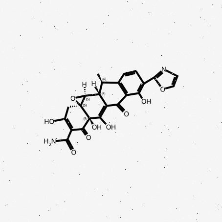 C[C@H]1c2ccc(-c3ncco3)c(O)c2C(=O)C2=C(O)[C@]3(O)C(=O)C(C(N)=O)=C(O)C[C@@]34O[C@H]4[C@@H]21